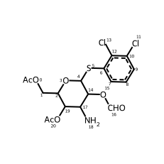 CC(=O)OCC1OC(Sc2cccc(Cl)c2Cl)C(OC=O)C(N)C1OC(C)=O